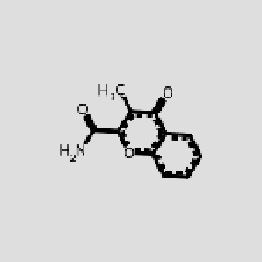 Cc1c(C(N)=O)oc2ccccc2c1=O